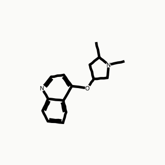 CC1CC(Oc2ccnc3ccccc23)CN1C